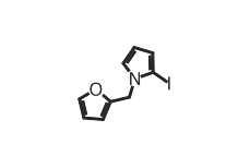 Ic1cccn1Cc1ccco1